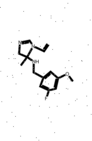 C=CN1C=NCC1(C)NCc1cc(F)cc(OC)c1